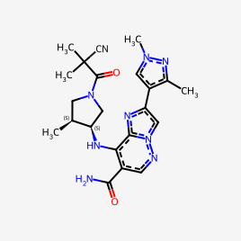 Cc1nn(C)cc1-c1cn2ncc(C(N)=O)c(N[C@@H]3CN(C(=O)C(C)(C)C#N)C[C@@H]3C)c2n1